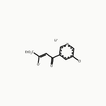 CCOC(=O)C([O-])=CC(=O)c1cncc(Cl)c1.[Li+]